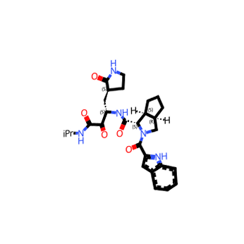 CC(C)NC(=O)C(=O)[C@H](C[C@@H]1CCNC1=O)NC(=O)[C@@H]1[C@H]2CCC[C@H]2CN1C(=O)c1cc2ccccc2[nH]1